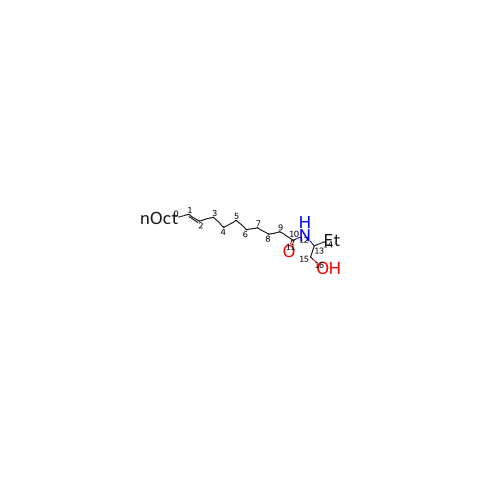 CCCCCCCCC=CCCCCCCCC(=O)NC(CC)CO